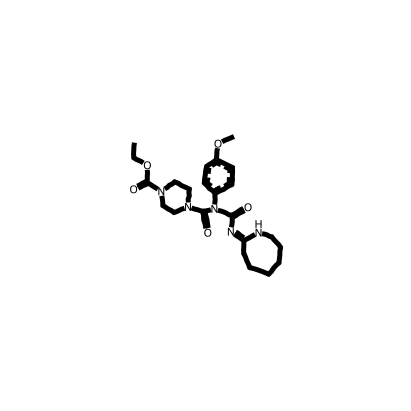 CCOC(=O)N1CCN(C(=O)N(C(=O)N=C2CCCCCCN2)c2ccc(OC)cc2)CC1